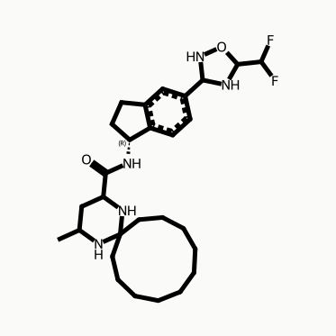 CC1CC(C(=O)N[C@@H]2CCc3cc(C4NOC(C(F)F)N4)ccc32)NC2(CCCCCCCCCC2)N1